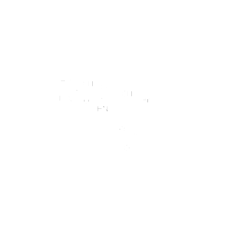 CC(NC(=O)OC(C)(C)C)c1oc(=O)c2ccccc2c1Br